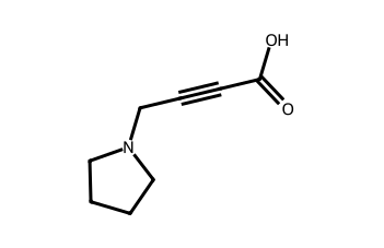 O=C(O)C#CCN1CCCC1